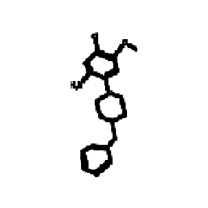 COc1cc(N2CCN(Cc3ccccc3)CC2)c(N)cc1Cl